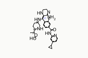 C[C@H](OO)[C@H]1CC[C@@H](N/C(=C2\NCCN=C2N)c2ccc(C(=O)Nc3cc(C4CC4)ccn3)cc2F)CN1